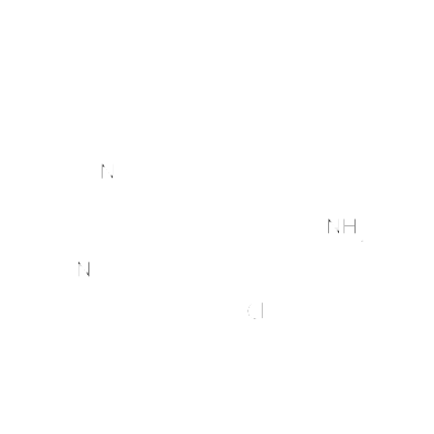 Cc1cc2ncncc2c(Cl)c1N